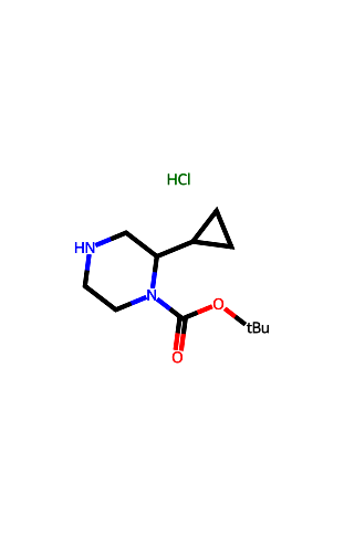 CC(C)(C)OC(=O)N1CCNCC1C1CC1.Cl